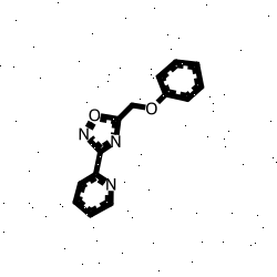 c1ccc(OCc2nc(-c3ccccn3)no2)cc1